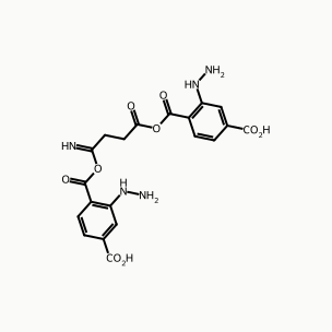 N=C(CCC(=O)OC(=O)c1ccc(C(=O)O)cc1NN)OC(=O)c1ccc(C(=O)O)cc1NN